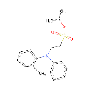 Cc1ccccc1N(CCS(=O)(=O)OC(C)C)c1ccccc1